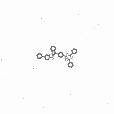 c1ccc(-c2ccc3sc4c(-c5ccc(-c6nc(-c7ccccc7)nc(-c7ccccc7)n6)cc5)c5ccccc5n4c3c2)cc1